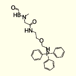 CN(BC=O)CC(=O)NCCOCC[PH](c1ccccc1)(c1ccccc1)c1ccccc1